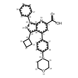 O=C(O)c1cc(-c2ccc(N3CCOCC3)cc2)c2c(C3CCC3)nn(-c3ccccc3)c2n1